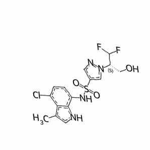 Cc1c[nH]c2c(NS(=O)(=O)c3cnn([C@@H](CO)C(F)F)c3)ccc(Cl)c12